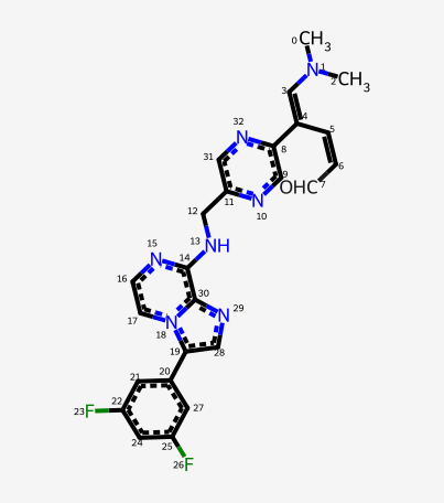 CN(C)/C=C(\C=C/C=O)c1cnc(CNc2nccn3c(-c4cc(F)cc(F)c4)cnc23)cn1